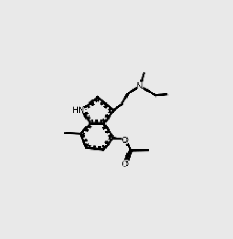 CCN(C)CCc1c[nH]c2c(C)ccc(OC(C)=O)c12